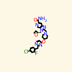 NC(=O)c1cc2nc(CN3CCC(Oc4ccnc(Cc5ccc(Cl)cc5F)n4)CC3)n(C[C@@H]3CCO3)c2cn1